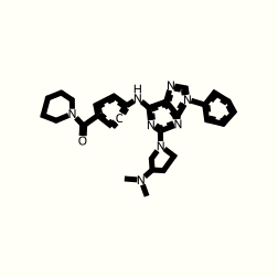 CN(C)C1CCN(c2nc(Nc3ccc(C(=O)N4CCCCC4)cc3)c3ncn(-c4ccccc4)c3n2)C1